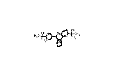 CC(C)(C)c1ncc(-c2nc3cnc(C(C)(C)C)nc3c3c4ccc(o4)c23)cn1